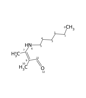 CCCCCCNC(C)=C(C)C=O